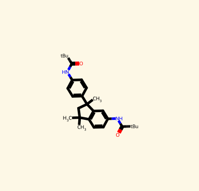 CC(C)(C)C(=O)Nc1ccc(C2(C)CC(C)(C)c3ccc(NC(=O)C(C)(C)C)cc32)cc1